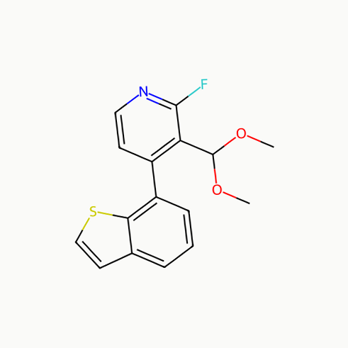 COC(OC)c1c(-c2cccc3ccsc23)ccnc1F